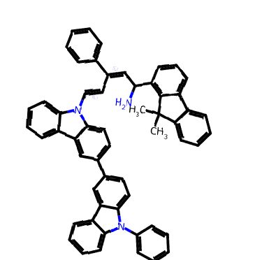 CC1(C)c2ccccc2-c2cccc(C(N)/C=C(\C=C\n3c4ccccc4c4cc(-c5ccc6c(c5)c5ccccc5n6-c5ccccc5)ccc43)c3ccccc3)c21